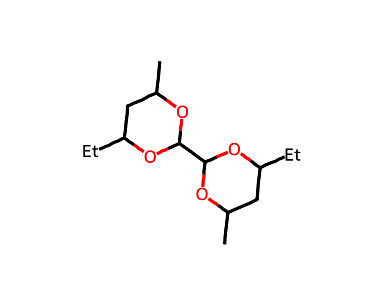 CCC1CC(C)OC(C2OC(C)CC(CC)O2)O1